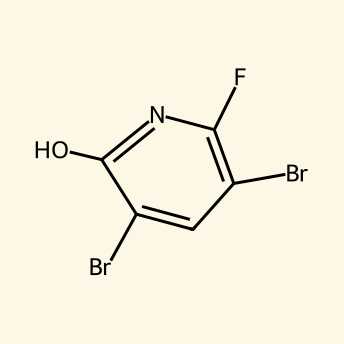 Oc1nc(F)c(Br)cc1Br